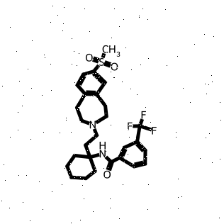 CS(=O)(=O)c1ccc2c(c1)CCN(CCC1(NC(=O)c3cccc(C(F)(F)F)c3)CCCCC1)CC2